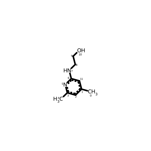 Cc1cc(C)nc(NCCO)c1